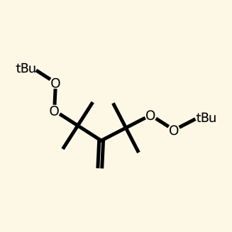 C=C(C(C)(C)OOC(C)(C)C)C(C)(C)OOC(C)(C)C